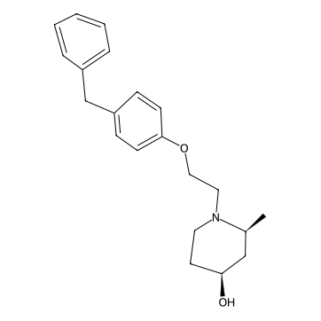 C[C@H]1C[C@@H](O)CCN1CCOc1ccc(Cc2ccccc2)cc1